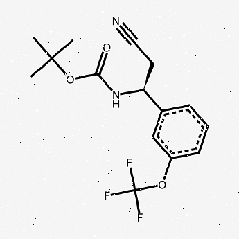 CC(C)(C)OC(=O)N[C@@H](CC#N)c1cccc(OC(F)(F)F)c1